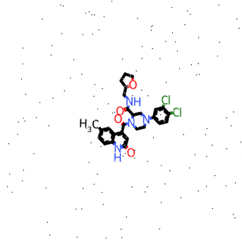 Cc1ccc2[nH]c(=O)cc(C(=O)N3CCN(c4ccc(Cl)c(Cl)c4)CC3C(=O)NCC3CCCO3)c2c1